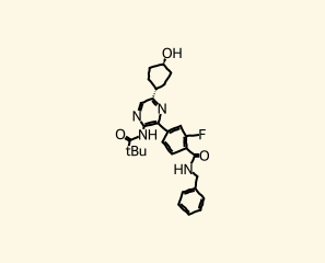 CC(C)(C)C(=O)Nc1ncc([C@H]2CC[C@H](O)CC2)nc1-c1ccc(C(=O)NCc2ccccc2)c(F)c1